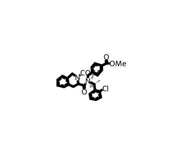 COC(=O)c1ccc(CN(C(=O)C2Cc3ccccc3CN2C(=O)O)[C@H](C)c2ccccc2Cl)cc1